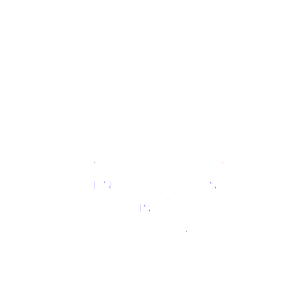 C=CCCCC(C)(C)NC(=O)N[C@H](C(=O)N=O)C(C)(C)C